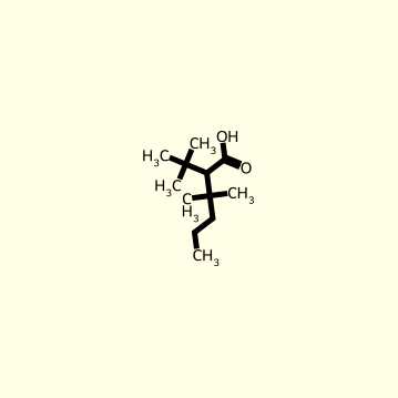 CCCC(C)(C)C(C(=O)O)C(C)(C)C